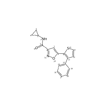 O=C(NC1CC1)c1cc(-c2sccc2-c2ccccc2)on1